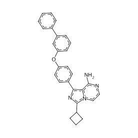 Nc1nccn2c(C3CCC3)nc(-c3ccc(Oc4cccc(-c5ccccc5)c4)cc3)c12